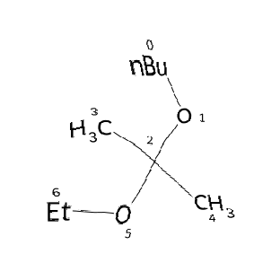 CCCCOC(C)(C)OCC